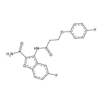 NC(=O)c1oc2ccc(F)cc2c1NC(=O)CCOc1ccc(F)cc1